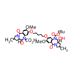 C=C1C[C@H]2C(=O)N(C(=O)O)c3cc(OCCCCCOc4cc5c(cc4OC)C(=O)N4CC(=C)C[C@H]4[C@H](O)N5C(=O)OC(C)(C)C)c(OC)cc3C(=O)N2C1